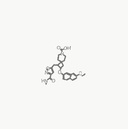 CCOc1ccc2ccc(OC3CC4(CCN(C(=O)O)CC4)C3Cc3cc(C(=O)NC)no3)cc2c1